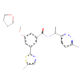 Cc1ccc(C(C)NC(=O)c2cc(OC[C@@H]3CCCO3)cc(-c3ncc(C)s3)c2)nn1